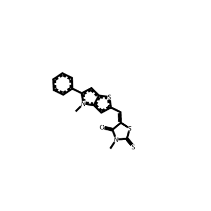 CN1C(=O)/C(=C\c2cc3c(cc(-c4ccccc4)n3C)s2)SC1=S